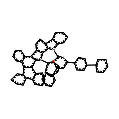 c1ccc(-c2ccc(-c3cc(-c4ccccc4)nc(-n4c5ccccc5c5ccc6c7c8ccccc8c8c9ccccc9c9ccccc9c8c7n(-c7ccccc7)c6c54)n3)cc2)cc1